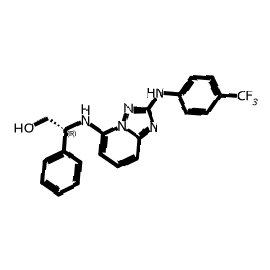 OC[C@H](Nc1cccc2nc(Nc3ccc(C(F)(F)F)cc3)nn12)c1ccccc1